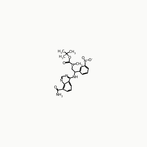 CN(CC(Nc1ncnc2c(C(N)=O)cccc12)c1cccc([N+](=O)[O-])c1)C(=O)OC(C)(C)C